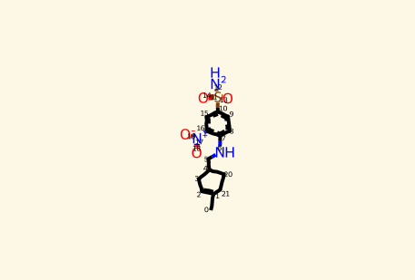 CC1=CCC(CNc2ccc(S(N)(=O)=O)cc2[N+](=O)[O-])CC1